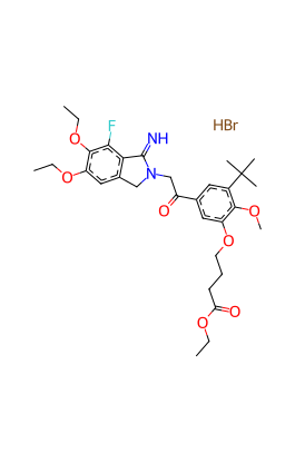 Br.CCOC(=O)CCCOc1cc(C(=O)CN2Cc3cc(OCC)c(OCC)c(F)c3C2=N)cc(C(C)(C)C)c1OC